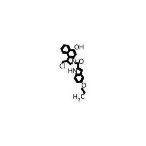 CCCOc1ccc2[nH]c(C(=O)N3CC(CCl)c4c3cc(O)c3ccccc43)cc2c1